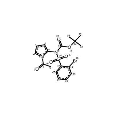 CC(=O)n1cccc1N(C(=O)OC(C)(C)C)S(=O)(=O)c1ccccc1Br